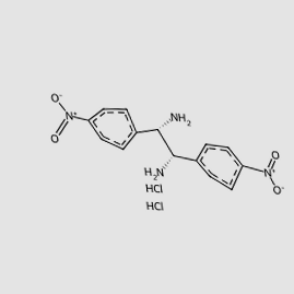 Cl.Cl.N[C@@H](c1ccc([N+](=O)[O-])cc1)[C@@H](N)c1ccc([N+](=O)[O-])cc1